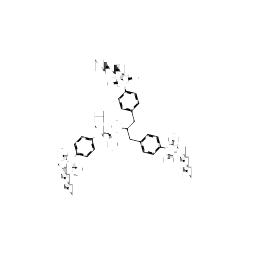 [N-]=[N+]=NS(=O)(=O)c1ccc(CC(Cc2ccc(S(=O)(=O)N=[N+]=[N-])cc2)OC(=O)Nc2ccc(S(=O)(=O)N=[N+]=[N-])cc2)cc1